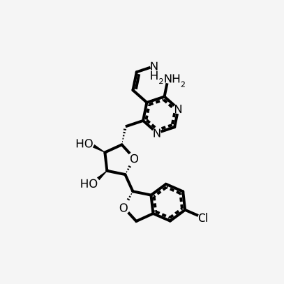 N/C=C\c1c(N)ncnc1C[C@@H]1O[C@H]([C@H]2OCc3cc(Cl)ccc32)[C@@H](O)[C@H]1O